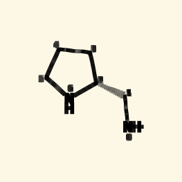 [NH]C[C@H]1CCCN1